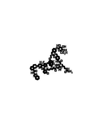 Cc1c(-c2ccc(N3CCc4cccc(C(=O)Nc5nc6ccccc6s5)c4C3)nc2C(=O)O)cnn1CC12CC3(C)CC(C)(C1)CC(OCCN(Cc1ccc(O[C@@H]4O[C@H](C(=O)O)[C@@H](O)[C@H](O)[C@H]4O)cc1)C(=O)OCc1ccc(NC(=O)[C@H](CCCCNC(N)=O)NC(=O)[C@@H](NC(=O)CCCCCN4C(=O)C=CC4=O)C(C)C)cc1)(C3)C2